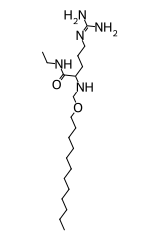 CCCCCCCCCCCCOCNC(CCCN=C(N)N)C(=O)NCC